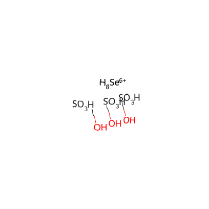 O=S(=O)(O)O.O=S(=O)(O)O.O=S(=O)(O)O.[SeH8+6]